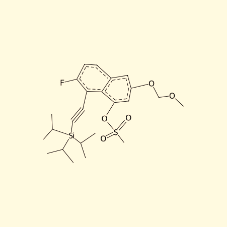 COCOc1cc(OS(C)(=O)=O)c2c(C#C[Si](C(C)C)(C(C)C)C(C)C)c(F)ccc2c1